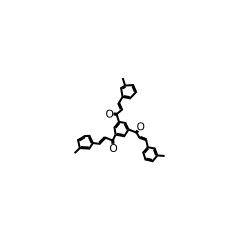 Cc1cccc(/C=C/C(=O)c2cc(C(=O)/C=C/c3cccc(C)c3)cc(C(=O)/C=C/c3cccc(C)c3)c2)c1